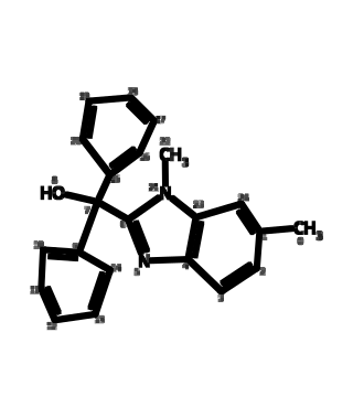 Cc1ccc2nc(C(O)(c3ccccc3)c3ccccc3)n(C)c2c1